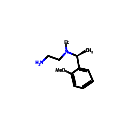 CCN(CCN)[C@@H](C)c1ccccc1OC